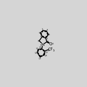 O=C1c2ccccc2CN1c1ccccc1C(F)(F)F